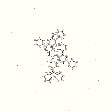 c1ccc(-c2nc(-c3cccc(-c4c5c(cc6c(-c7ccccc7)nc7ccccc7c46)oc4ccccc45)c3)cc(-c3cccc(-n4c5ccccc5c5ccccc54)c3)n2)cc1